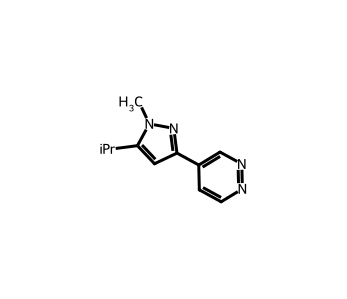 CC(C)c1cc(-c2ccnnc2)nn1C